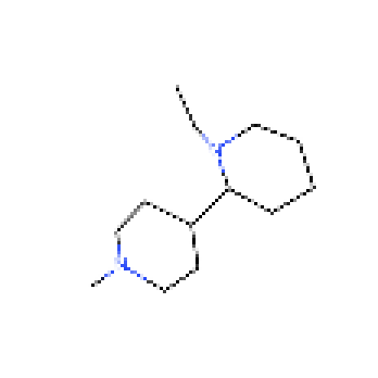 CCN1CCCC[C]1C1CCN(C)CC1